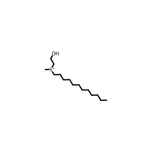 CCCCCCCCCCCC[S+](C)CCO